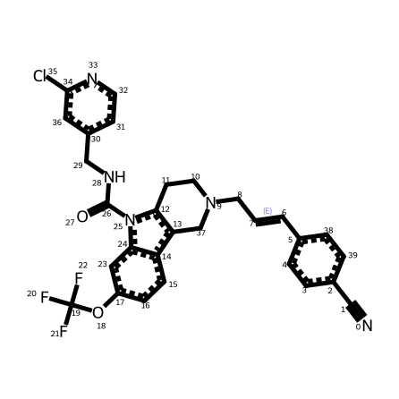 N#Cc1ccc(/C=C/CN2CCc3c(c4ccc(OC(F)(F)F)cc4n3C(=O)NCc3ccnc(Cl)c3)C2)cc1